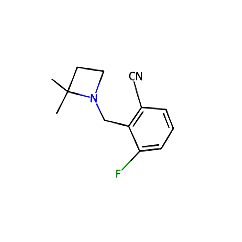 CC1(C)CCN1Cc1c(F)cccc1C#N